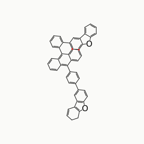 C1=Cc2c(oc3ccc(-c4ccc(-c5c6ccccc6c(-c6ccccc6-c6ccc7oc8ccccc8c7c6)c6ccccc56)cc4)cc23)CC1